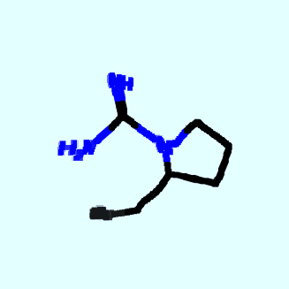 CC(C)(C)CC1CCCN1C(=N)N